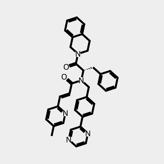 Cc1ccc(C=CC(=O)N(Cc2ccc(-c3cnccn3)cc2)[C@@H](Cc2ccccc2)C(=O)N2CCc3ccccc3C2)nc1